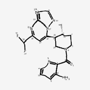 C[C@@H]1CCN(C(=O)c2ncccc2N)C[C@H]1c1cc(C(F)F)nc2ncnn12